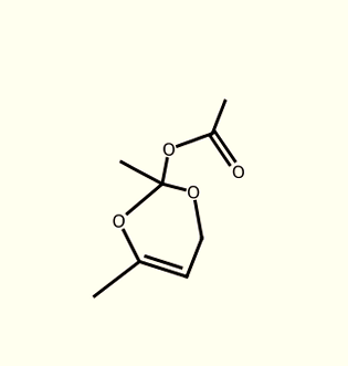 CC(=O)OC1(C)OCC=C(C)O1